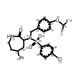 CC(C)C1CCNC(=O)C(N(Cc2ccc(OC(F)F)cc2)S(=O)(=O)c2ccc(Cl)cc2)C1